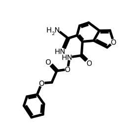 N=C(N)c1ccc2cocc2c1C(=O)NOC(=O)COc1ccccc1